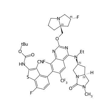 CCN(c1nc(OC[C@@]23CCCN2C[C@H](F)C3)nc2c(F)c(-c3ccc(F)c4sc(NC(=O)OC(C)(C)C)c(C#N)c34)c(C(F)(F)F)cc12)[C@H]1C[C@H]2CN(C)C(=O)N2C1